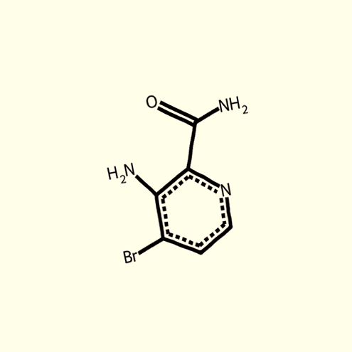 NC(=O)c1nccc(Br)c1N